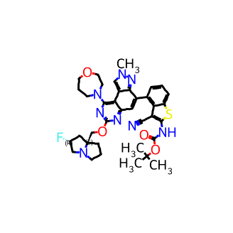 Cn1cc2c(n1)c(-c1cccc3sc(NC(=O)OC(C)(C)C)c(C#N)c13)cc1nc(OC[C@@]34CCCN3C[C@H](F)C4)nc(N3CCCOCC3)c12